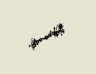 CCOc1cc(N2CCC(N3CCN(CCC4CCN(c5cc(F)c6c(c5)n(CC)c(=O)n6C5CCC(=O)NC5=O)CC4)CC3)CC2)c(CC)cc1Nc1ncc(Br)c(Nc2ccc3c(=O)n(CC)ncc3c2P(C)(C)=O)n1